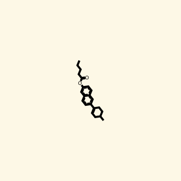 CCCCC(=O)Oc1ccc2cc(C3=CCC(C)CC3)ccc2c1